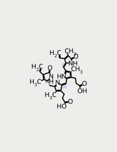 C=CC1=C(C)[C@@H](CC2=N/C(=C\c3[nH]c(/C=C4\NC(=O)C(C)=C4C=C)c(C)c3CCC(=O)O)C(CCC(=O)O)=C2C)NC1=O